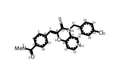 CNC(=O)c1ccc(/C=C2\Oc3ccncc3N(Cc3ccc(Cl)cc3)C2=S)cc1